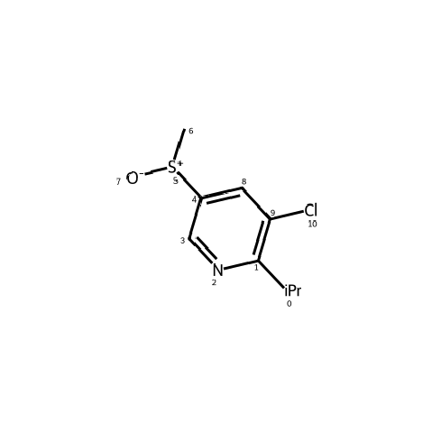 CC(C)c1ncc([S+](C)[O-])cc1Cl